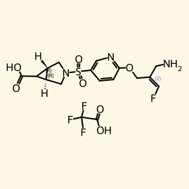 NC/C(=C/F)COc1ccc(S(=O)(=O)N2C[C@H]3C(C(=O)O)[C@@H]3C2)cn1.O=C(O)C(F)(F)F